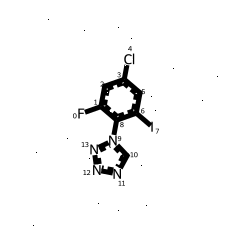 Fc1cc(Cl)cc(I)c1-n1cnnn1